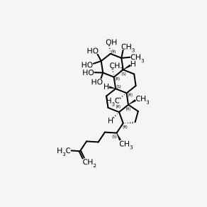 C=C(C)CCC[C@H](C)[C@H]1CC[C@]2(C)[C@@H]1CC[C@@H]1[C@]3(C)[C@@H](CC[C@]12C)C(C)(C)[C@@H](O)C(O)(O)C3(O)O